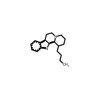 CCCCC1CCCN2CCC3=c4ccccc4=NC3=C12